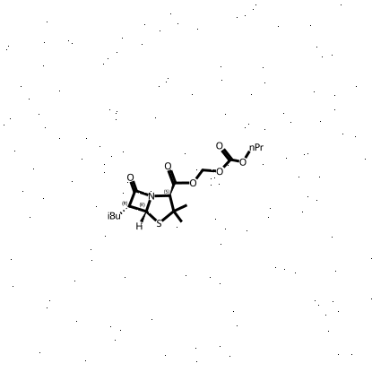 CCCOC(=O)OCOC(=O)[C@@H]1N2C(=O)[C@@H](C(C)CC)[C@H]2SC1(C)C